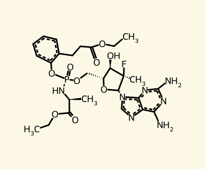 CCOC(=O)CCc1ccccc1O[P@](=O)(N[C@@H](C)C(=O)OCC)OC[C@H]1O[C@@H](n2cnc3c(N)nc(N)nc32)[C@](C)(F)[C@@H]1O